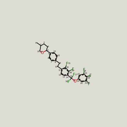 CC1CCC(c2ccc(CCc3ccc(C(F)(F)Oc4cc(F)c(F)c(F)c4)c(F)c3F)cc2)OC1